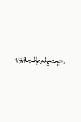 CNCCOCCC(=O)NCCOCC(=O)NCCOCCC(=O)OC(C)(C)C